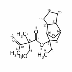 CCC1(OC(=O)C(C)(CO)C(C)=O)CC2CC1C1CCCC21